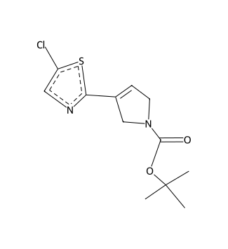 CC(C)(C)OC(=O)N1CC=C(c2ncc(Cl)s2)C1